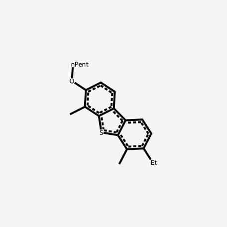 CCCCCOc1ccc2c(sc3c(C)c(CC)ccc32)c1C